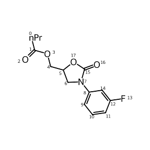 CCCC(=O)OCC1CN(c2cccc(F)c2)C(=O)O1